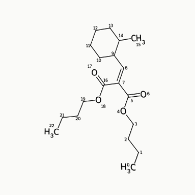 CCCCOC(=O)C(=CC1CCCCC1C)C(=O)OCCCC